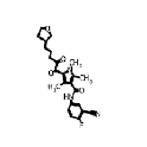 Cc1c(C(=O)Nc2ccc(F)c(C#N)c2)c(C)n(C)c1C(=O)C(=O)CCCC1CCOC1